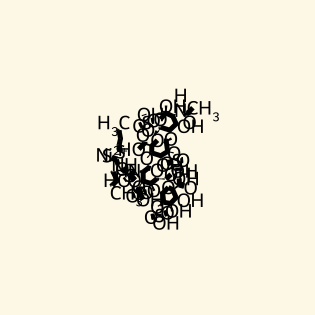 CC(=O)N[C@@H]1[C@@H](O)[C@H](O[C@@H]2O[C@H](C(=O)O)[C@@H](O[C@@H]3O[C@H](CO)[C@@H](O[C@H]4O[C@@H](C(=O)O)[C@H](O)[C@@H](O)[C@@H]4OS(=O)(=O)O)[C@H](OS(=O)(=O)O)[C@H]3NS(=O)(=O)O)[C@H](O)[C@H]2OS(=O)(=O)O)[C@H](COS(=O)(=O)O)O[C@H]1O.CCCCNC(=S)SCCCC.[Ni+2]